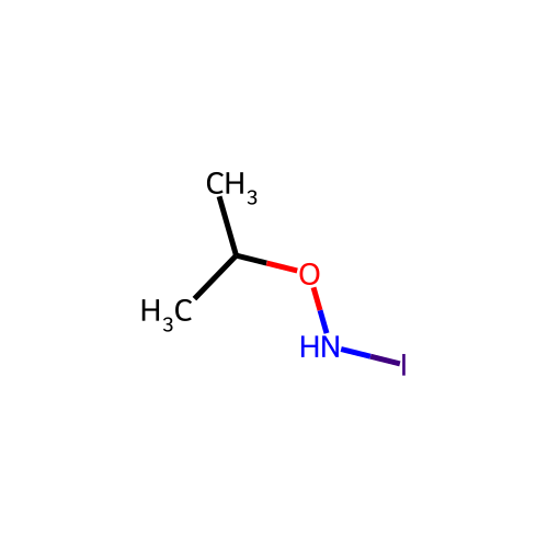 CC(C)ONI